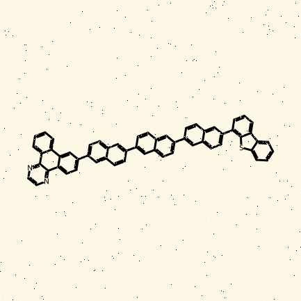 c1ccc2c(c1)sc1c(-c3ccc4cc(-c5ccc6cc(-c7ccc8cc(-c9ccc%10c(c9)c9ccccc9c9nccnc%109)ccc8c7)ccc6c5)ccc4c3)cccc12